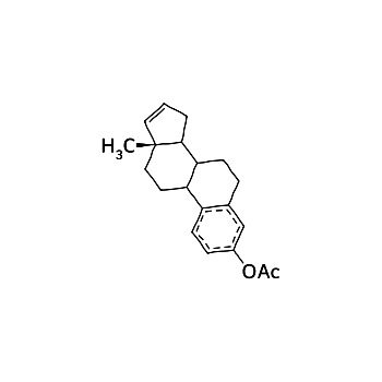 CC(=O)Oc1ccc2c(c1)CCC1C2CC[C@]2(C)C=CCC12